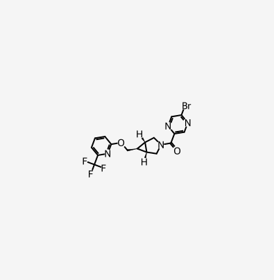 O=C(c1cnc(Br)cn1)N1C[C@@H]2[C@@H](COc3cccc(C(F)(F)F)n3)[C@@H]2C1